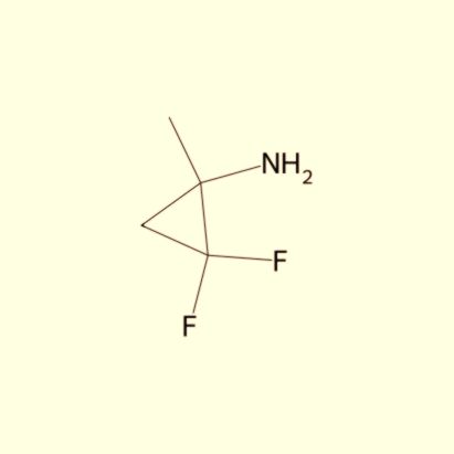 CC1(N)CC1(F)F